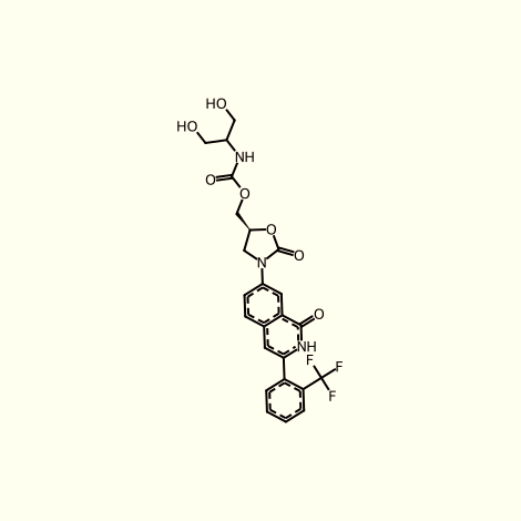 O=C(NC(CO)CO)OC[C@@H]1CN(c2ccc3cc(-c4ccccc4C(F)(F)F)[nH]c(=O)c3c2)C(=O)O1